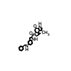 Cc1c[nH]c2c1C13CC1CN(C(=O)c1cc4cc(NCc5ccccc5)ccc4[nH]1)C3=CC2=O